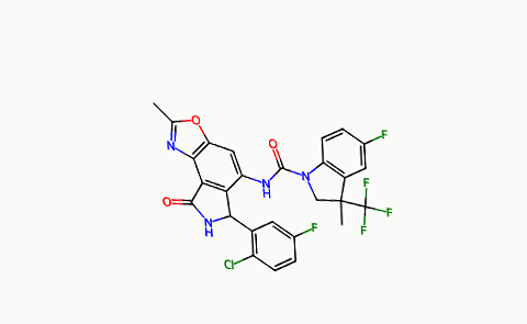 Cc1nc2c3c(c(NC(=O)N4CC(C)(C(F)(F)F)c5cc(F)ccc54)cc2o1)C(c1cc(F)ccc1Cl)NC3=O